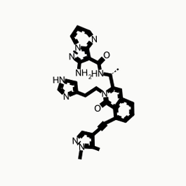 Cc1c(C#Cc2cccc3cc([C@@H](C)NC(=O)c4c(N)nn5cccnc45)n(CCc4c[nH]cn4)c(=O)c23)cnn1C